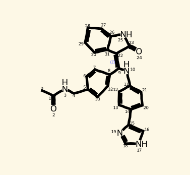 CC(=O)NCc1ccc(/C(Nc2ccc(-c3c[nH]cn3)cc2)=C2/C(=O)Nc3ccccc32)cc1